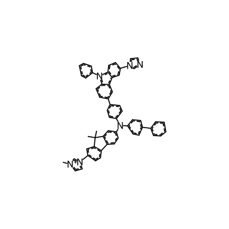 C[n+]1ccn(-c2ccc3c(c2)C(C)(C)c2cc(N(c4ccc(-c5ccccc5)cc4)c4ccc(-c5ccc6c(c5)c5cc(-n7ccnc7)ccc5n6-c5ccccc5)cc4)ccc2-3)c1